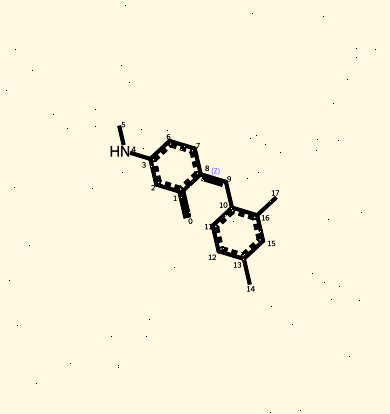 C=c1cc(NC)cc/c1=C/c1ccc(C)cc1C